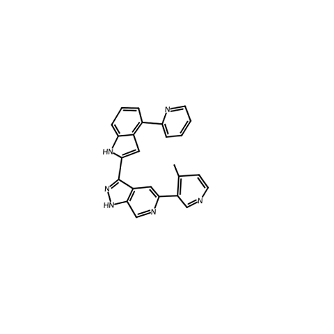 Cc1ccncc1-c1cc2c(-c3cc4c(-c5ccccn5)cccc4[nH]3)n[nH]c2cn1